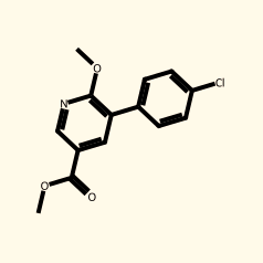 COC(=O)c1cnc(OC)c(-c2ccc(Cl)cc2)c1